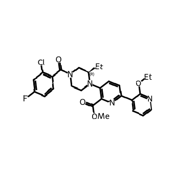 CCOc1ncccc1-c1ccc(N2CCN(C(=O)c3ccc(F)cc3Cl)C[C@H]2CC)c(C(=O)OC)n1